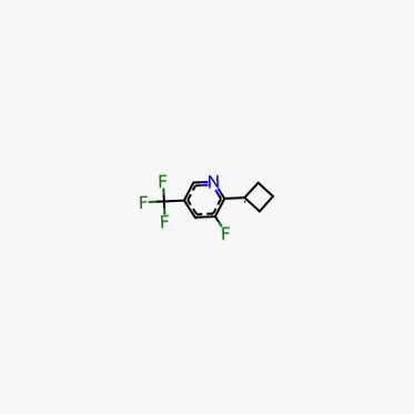 Fc1cc(C(F)(F)F)cnc1[C]1CCC1